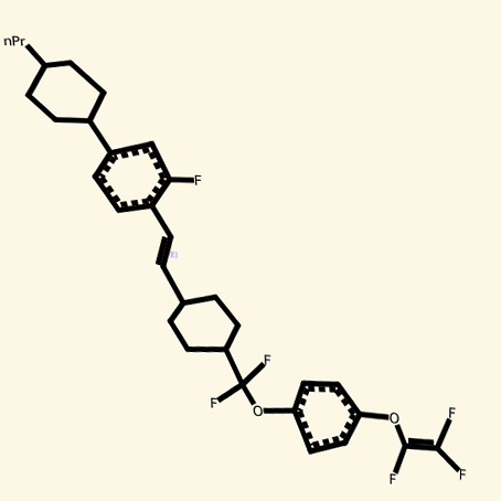 CCCC1CCC(c2ccc(/C=C/C3CCC(C(F)(F)Oc4ccc(OC(F)=C(F)F)cc4)CC3)c(F)c2)CC1